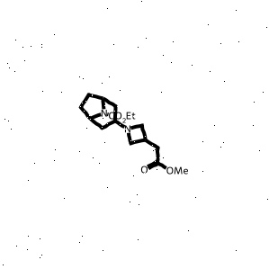 CCOC(=O)N1C2CCC1CC(N1CC(CC(=O)OC)C1)C2